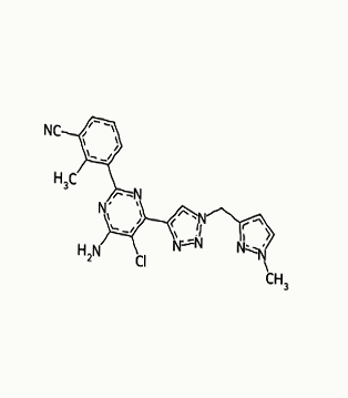 Cc1c(C#N)cccc1-c1nc(N)c(Cl)c(-c2cn(Cc3ccn(C)n3)nn2)n1